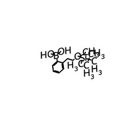 CC(C)(C)[Si](C)(C)OCCc1ccccc1B(O)O